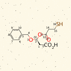 O=C(O)C[C@@H](OCc1ccccc1)OC(=O)CCS